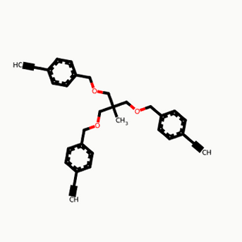 C#Cc1ccc(COCC(C)(COCc2ccc(C#C)cc2)COCc2ccc(C#C)cc2)cc1